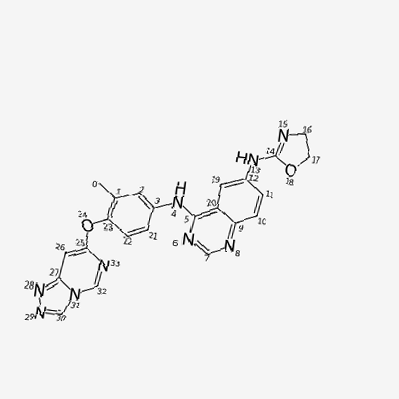 Cc1cc(Nc2ncnc3ccc(NC4=NCCO4)cc23)ccc1Oc1cc2nncn2cn1